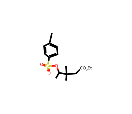 CCOC(=O)CC(C)(C)C(C)OS(=O)(=O)c1ccc(C)cc1